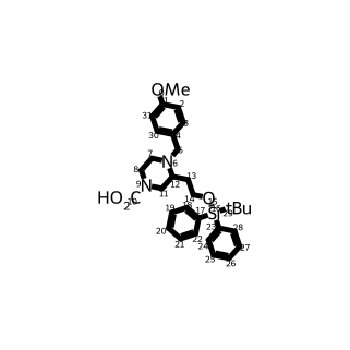 COc1ccc(CN2CCN(C(=O)O)CC2CCO[Si](c2ccccc2)(c2ccccc2)C(C)(C)C)cc1